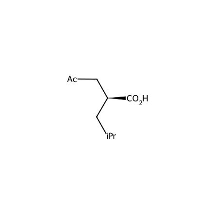 CC(=O)C[C@H](CC(C)C)C(=O)O